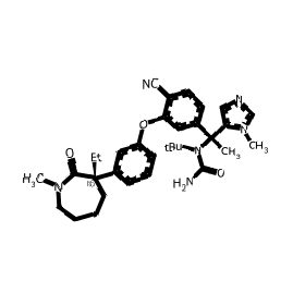 CC[C@@]1(c2cccc(Oc3cc(C(C)(c4cncn4C)N(C(N)=O)C(C)(C)C)ccc3C#N)c2)CCCCN(C)C1=O